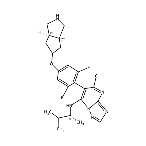 CC(C)[C@@H](C)Nc1c(-c2c(F)cc(OC3C[C@H]4CNC[C@H]4C3)cc2F)c(Cl)nc2ncnn12